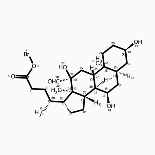 C[C@H](CCC(=O)OBr)[C@H]1CC[C@H]2[C@@H]3[C@H](O)C[C@@H]4C[C@H](O)CC[C@]4(C)[C@H]3C[C@@](O)(C=O)[C@]12C